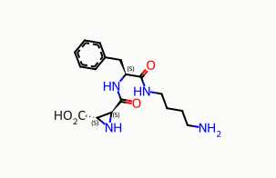 NCCCCNC(=O)[C@H](Cc1ccccc1)NC(=O)[C@H]1N[C@@H]1C(=O)O